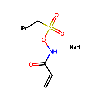 C=CC(=O)NOS(=O)(=O)CC(C)C.[NaH]